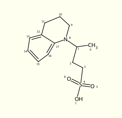 CC(CCS(=O)(=O)O)N1CCCc2ccccc21